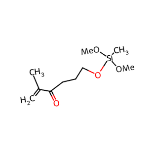 C=C(C)C(=O)CCCO[Si](C)(OC)OC